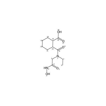 CCN(CC(=O)NO)C(=O)C1CCCCC1C(=O)O